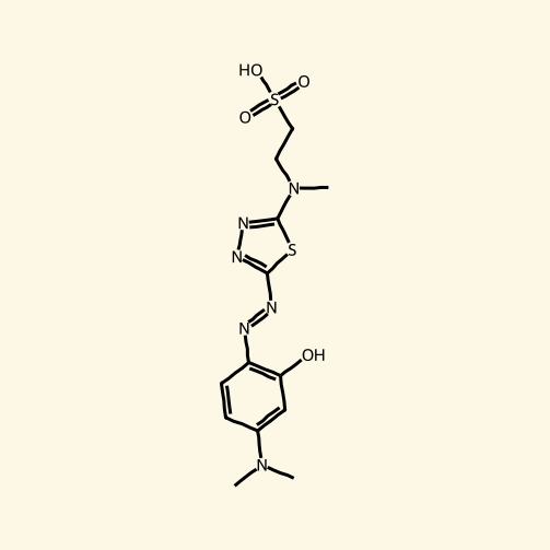 CN(C)c1ccc(/N=N/c2nnc(N(C)CCS(=O)(=O)O)s2)c(O)c1